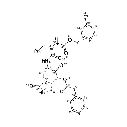 CC(C)C[C@H](NC(=O)OCc1cccc(Cl)c1)C(=O)N[C@@H](C[C@@H]1CCNC1=O)C(=O)COC(=O)Cc1ccccc1